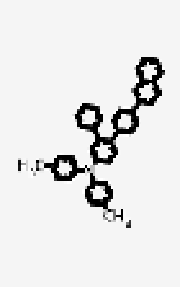 Cc1ccc(N(c2ccc(C)cc2)c2ccc(-c3ccc(-c4ccc5ccccc5c4)cc3)c(-c3ccccc3)c2)cc1